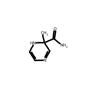 CC1(C(N)=O)C=NC=CN1